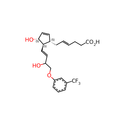 O=C(O)CCC=CC[C@H]1C=C[C@@H](O)[C@@H]1C=CC(O)COc1cccc(C(F)(F)F)c1